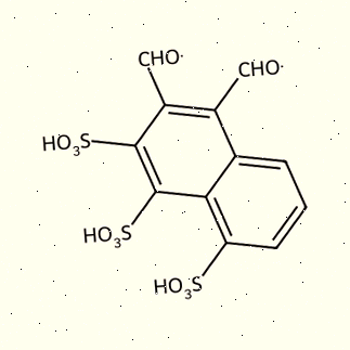 O=[C]c1c(S(=O)(=O)O)c(S(=O)(=O)O)c2c(S(=O)(=O)O)cccc2c1[C]=O